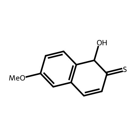 COc1ccc2c(c1)C=CC(=S)C2O